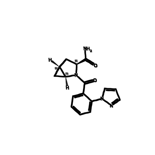 NC(=O)[C@@H]1C[C@@H]2C[C@@H]2N1C(=O)c1ccccc1-n1cccn1